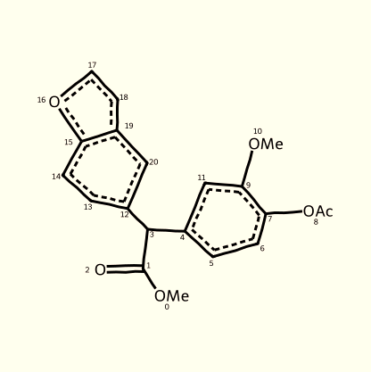 COC(=O)C(c1ccc(OC(C)=O)c(OC)c1)c1ccc2occc2c1